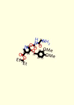 CCC(CC)OC(=O)c1cnc(OC(=O)NC(=O)CN)c(OCc2ccc(OC)c(OC)c2)c1